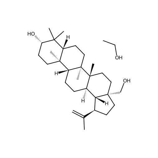 C=C(C)[C@@H]1CC[C@]2(CO)CC[C@]3(C)[C@H](CC[C@@H]4[C@@]5(C)CC[C@H](O)C(C)(C)[C@@H]5CC[C@]43C)[C@@H]12.CCO